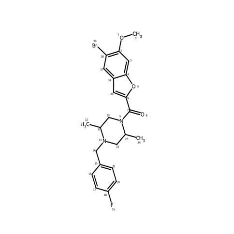 COc1cc2oc(C(=O)N3CC(C)N(Cc4ccc(F)cc4)CC3C)cc2cc1Br